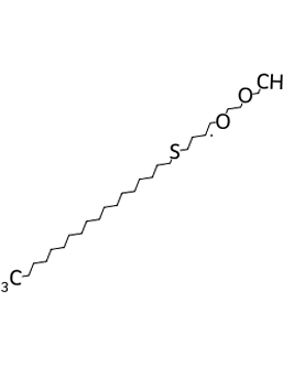 [CH2]COCCOC[CH]CCSCCCCCCCCCCCCCCCCCC